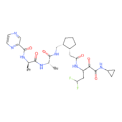 CC(C)[C@@H](NC(=O)c1cnccn1)C(=O)N[C@H](C(=O)NC[C@@H]1CCC[C@@H]1CC(=O)NC(CC(F)F)C(=O)C(=O)NC1CC1)C(C)(C)C